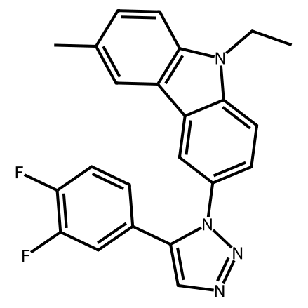 CCn1c2ccc(C)cc2c2cc(-n3nncc3-c3ccc(F)c(F)c3)ccc21